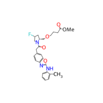 COC(=O)CCCOC[C@@H]1C[C@H](F)CN1C(=O)Cc1ccc2nc(Nc3ccccc3C)oc2c1